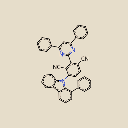 N#Cc1ccc(-n2c3ccccc3c3cccc(-c4ccccc4)c32)c(C#N)c1-c1nc(-c2ccccc2)cc(-c2ccccc2)n1